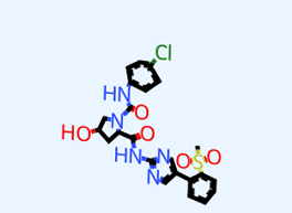 CS(=O)(=O)c1ccccc1-c1cnc(NC(=O)C2CC(O)CN2C(=O)Nc2ccc(Cl)cc2)nc1